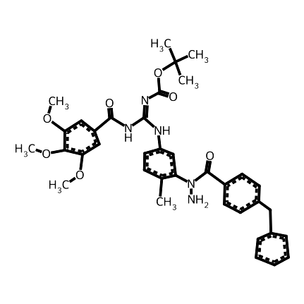 COc1cc(C(=O)N/C(=N/C(=O)OC(C)(C)C)Nc2ccc(C)c(N(N)C(=O)c3ccc(Cc4ccccc4)cc3)c2)cc(OC)c1OC